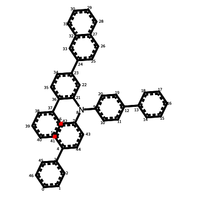 c1ccc(-c2ccc(N(c3ccc(-c4ccccc4)cc3)c3cc(-c4ccc5ccccc5c4)ccc3-c3ccccc3)cc2)cc1